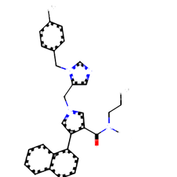 COCCN(C)C(=O)c1cn(Cc2cncn2Cc2ccc(OC)cc2)cc1-c1cccc2ccccc12